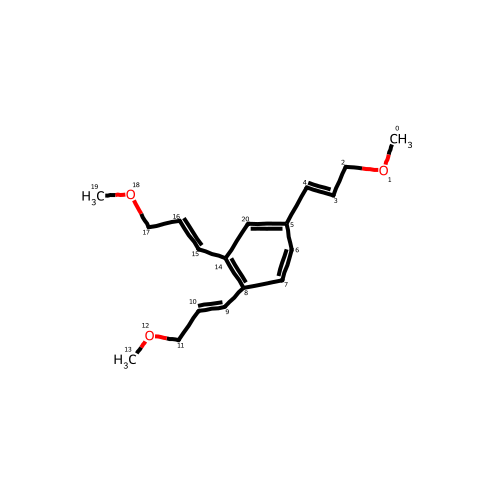 COCC=Cc1ccc(C=CCOC)c(C=CCOC)c1